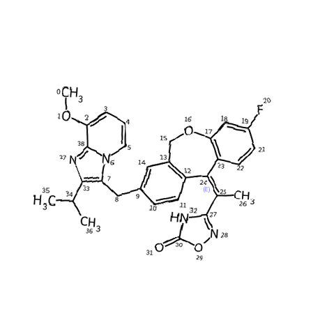 COc1cccn2c(Cc3ccc4c(c3)COc3cc(F)ccc3/C4=C(\C)c3noc(=O)[nH]3)c(C(C)C)nc12